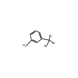 Nc1cccc(C(Br)(Br)Br)c1